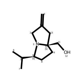 C=C1CN2[C@H](C(C)C)CC[C@@]2(CO)C1